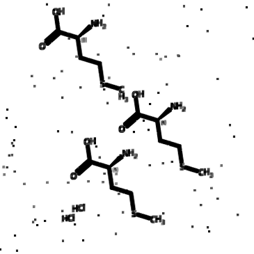 CSCC[C@H](N)C(=O)O.CSCC[C@H](N)C(=O)O.CSCC[C@H](N)C(=O)O.Cl.Cl